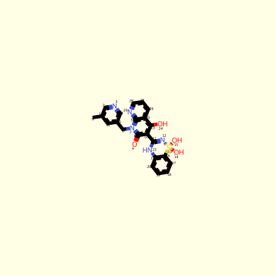 Cc1cncc(Cn2c(=O)c(C3=NS(O)(O)c4ccccc4N3)c(O)c3cccnc32)c1